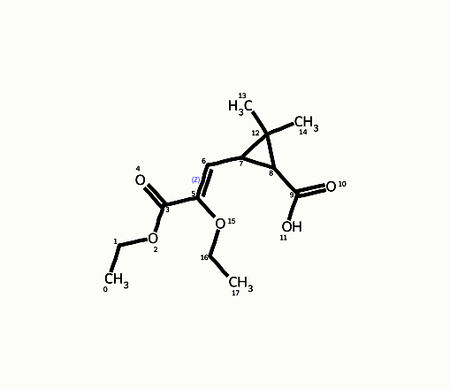 CCOC(=O)/C(=C/C1C(C(=O)O)C1(C)C)OCC